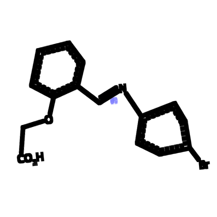 O=C(O)COc1ccccc1/C=N/c1ccc(Br)cc1